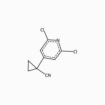 N#CC1(c2cc(Cl)nc(Cl)c2)CC1